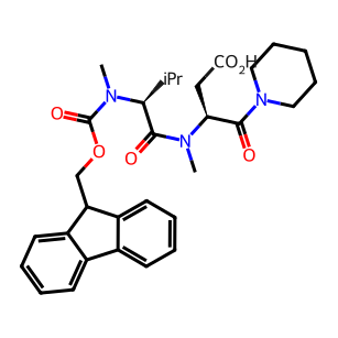 CC(C)[C@@H](C(=O)N(C)[C@@H](CC(=O)O)C(=O)N1CCCCC1)N(C)C(=O)OCC1c2ccccc2-c2ccccc21